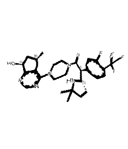 C[C@@H]1C[C@H](O)c2ncnc(N3CCN(C(=O)[C@@H](c4ccc(C(F)(F)F)c(F)c4)[C@@H]4CCC(C)(C)N4)CC3)c21